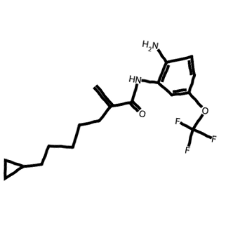 C=C(CCCCCC1CC1)C(=O)Nc1cc(OC(F)(F)F)ccc1N